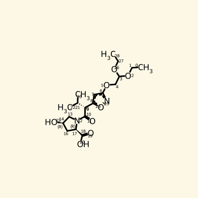 CCOC(COc1cc([C@H](C(=O)N2C[C@H](O)C[C@@H]2C(=O)O)C(C)C)on1)OCC